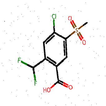 CS(=O)(=O)c1cc(C(=O)O)c(C(F)F)cc1Cl